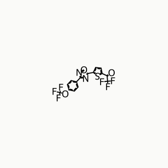 O=C(c1ccc(-c2nc(-c3ccc(OC(F)(F)F)cc3)no2)s1)C(F)(F)F